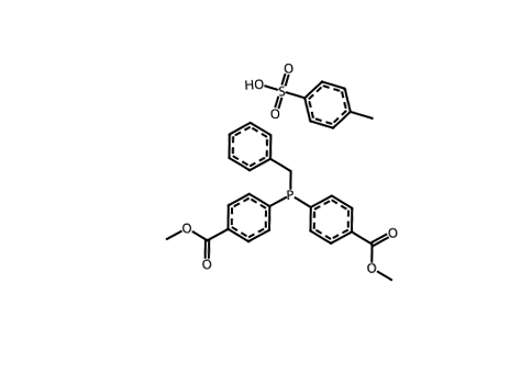 COC(=O)c1ccc(P(Cc2ccccc2)c2ccc(C(=O)OC)cc2)cc1.Cc1ccc(S(=O)(=O)O)cc1